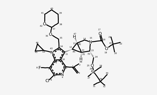 C=C(C)c1nc(Cl)c(F)c2c1c([C@@H]1[C@H]3CN(C(=O)OC(C)(C)C)[C@H](CO[Si](C)(C)C(C)(C)C)[C@H]31)c(COC1CCCCO1)n2C1CC1